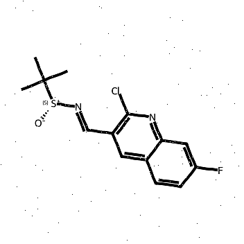 CC(C)(C)[S@@+]([O-])N=Cc1cc2ccc(F)cc2nc1Cl